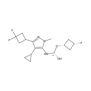 Cn1nc(C2CC(F)(F)C2)c(C2CC2)c1N[C@@H](O)O[C@H]1C[C@@H](F)C1